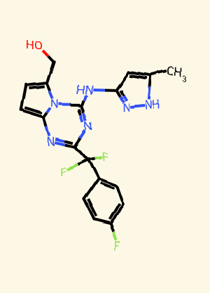 Cc1cc(Nc2nc(C(F)(F)c3ccc(F)cc3)nc3ccc(CO)n23)n[nH]1